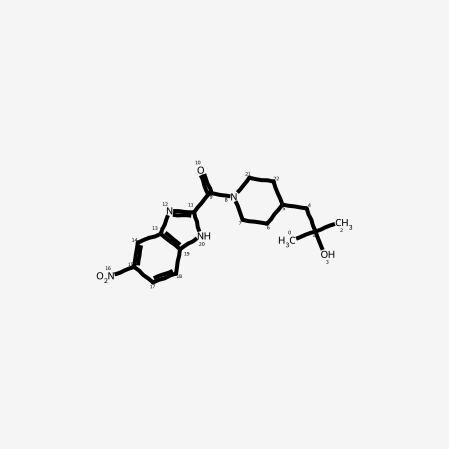 CC(C)(O)CC1CCN(C(=O)c2nc3cc([N+](=O)[O-])ccc3[nH]2)CC1